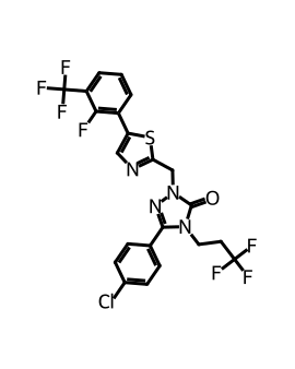 O=c1n(Cc2ncc(-c3cccc(C(F)(F)F)c3F)s2)nc(-c2ccc(Cl)cc2)n1CCC(F)(F)F